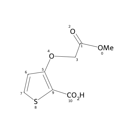 COC(=O)COc1ccsc1C(=O)O